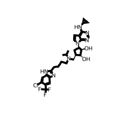 CC(C)N(CCCCc1nc2cc(C(F)(F)F)c(Cl)cc2[nH]1)C[C@H]1C[C@@H](n2ccc3c(NC4CC4)ncnc32)[C@@H](O)[C@@H]1O